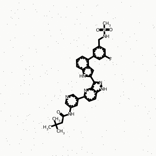 CC(C)(C)CC(=O)Nc1cncc(-c2ccc3[nH]nc(-c4cc5c(-c6cc(F)cc(CNS(C)(=O)=O)c6)cccc5[nH]4)c3n2)c1